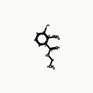 CCOC(=O)c1cccc(I)c1N